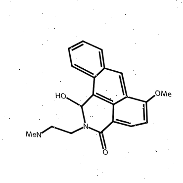 CNCCN1C(=O)c2ccc(OC)c3cc4ccccc4c(c23)C1O